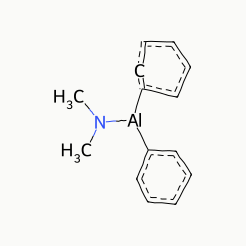 C[N](C)[Al]([c]1ccccc1)[c]1ccccc1